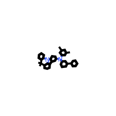 Cc1cc(C)cc(N(c2cccc(-c3ccccc3)c2)c2ccc3c(c2)c2cccc4c2n3-c2ccccc2C4(C)C)c1